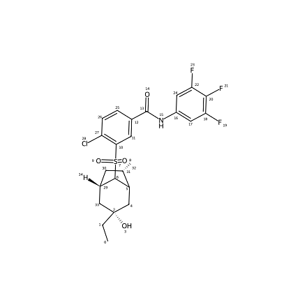 CC[C@]1(O)CC2C(S(=O)(=O)c3cc(C(=O)Nc4cc(F)c(F)c(F)c4)ccc3Cl)[C@@H](C[C@@H]2C)C1